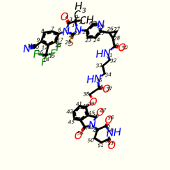 CC1(C)C(=O)N(c2ccc(C#N)c(C(F)(F)F)c2F)C(=S)N1c1ccc(C2CC2C(=O)NCCCNC(=O)COc2cccc3c2C(=O)N(C2CCC(=O)NC2=O)C3=O)nc1